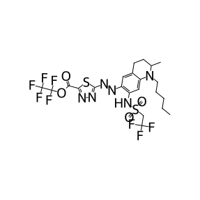 CCCCCN1c2cc(NS(=O)(=O)CC(F)(F)F)c(N=Nc3nnc(C(=O)OC(F)(F)C(F)(F)F)s3)cc2CCC1C